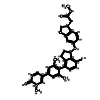 COC(=O)C[C@@H]1COc2cc(O[C@@H]3CCc4c(-c5c(C)cc(-c6cnc(=O)n(C)c6)cc5C)ccc(F)c43)ccc21